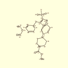 CC(C)(C)OC(=O)N1CCN(c2ccc3c4c(Cc5ccccc5)c(S(C)(=O)=O)n3c24)CC1.CC(C)(C)OC=O